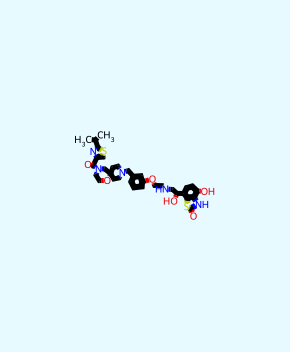 CC(C)c1nc(C(=O)N2CCOC3(CCN(Cc4cccc(OCCNCC(O)c5ccc(O)c6[nH]c(=O)sc56)c4)CC3)C2)cs1